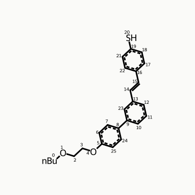 CCCCOCCOc1ccc(-c2cccc(/C=C/c3ccc(S)cc3)c2)cc1